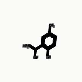 Cc1ccc(O)c(C(O)C(=O)O)c1